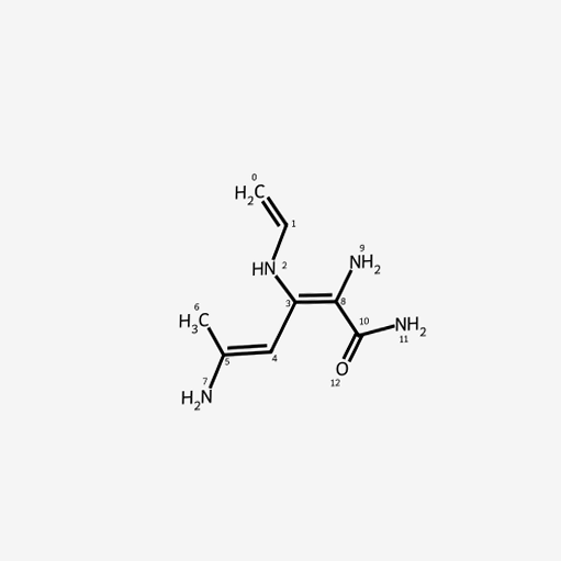 C=CNC(/C=C(\C)N)=C(\N)C(N)=O